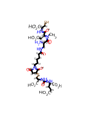 CN(C(=O)[C@@H](N)CNC(=O)CCCCCN1C(=O)CC(SC[C@H](NC(=O)N[C@@H](CCC(=O)O)C(=O)O)C(=O)O)C1=O)[C@@H](CC(=O)O)C(=O)N[C@@H](CS)C(=O)O